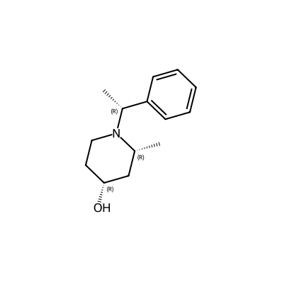 C[C@@H]1C[C@H](O)CCN1[C@H](C)c1ccccc1